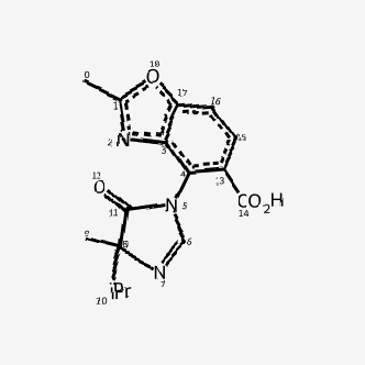 Cc1nc2c(N3C=NC(C)(C(C)C)C3=O)c(C(=O)O)ccc2o1